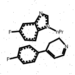 CCCn1cnc2cc(F)ccc21.Fc1ccc(C2=CC=NCC2)cc1